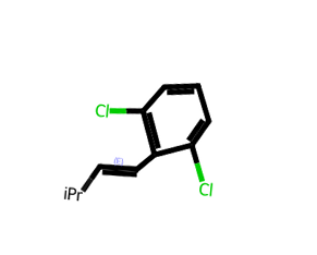 CC(C)/C=C/c1c(Cl)cccc1Cl